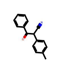 Cc1ccc(C(C#N)C(=O)c2ccccc2)cc1